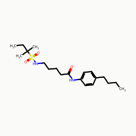 CCCCc1ccc(NC(=O)CCCCNS(=O)(=O)C(C)(C)CC)cc1